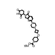 CC(C)(C)OC(=O)N1CCC(O[C@H]2C[C@H](N3CCN(c4ccc5c(n4)CN(C4CCC(=O)NC4=O)C5=O)CC3)C2)CC1